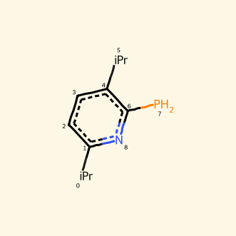 CC(C)c1ccc(C(C)C)c(P)n1